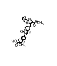 COC(=O)C1=C(CN2CCN3C(=O)N(c4ccc(CC(C)(C)C(=O)O)cc4)C[C@@H]3C2)NC(c2nccs2)=NC1